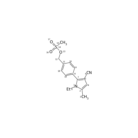 CCn1c(C)cc(C#N)c1-c1ccc(COS(C)(=O)=O)cc1